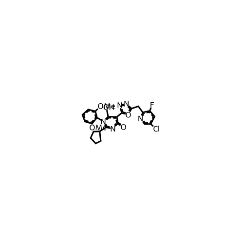 COc1cccc(OC)c1-n1c(C2CCCC2)nc(=O)c(-c2nnc(Cc3ncc(Cl)cc3F)o2)c1O